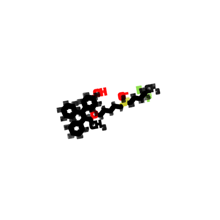 CC(OCCCCC[S+]([O-])CCCC(F)(F)C(F)(F)F)C(=C(c1ccccc1)c1ccc(O)cc1)c1ccccc1